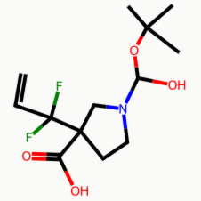 C=CC(F)(F)C1(C(=O)O)CCN(C(O)OC(C)(C)C)C1